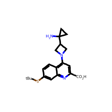 CC(C)(C)Sc1ccc2c(N3CC(C4(N)CC4)C3)cc(C(=O)O)nc2c1